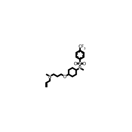 C=CCN(C)CCCOC1CCC(N(C)S(=O)(=O)c2ccc(C(F)(F)F)cc2)CC1